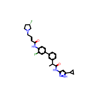 CC(C(=O)Nc1cc(C2CC2)[nH]n1)c1cccc(-c2ccc(NC(=O)/C=C/CN3CC[C@H](F)C3)c(F)c2)c1